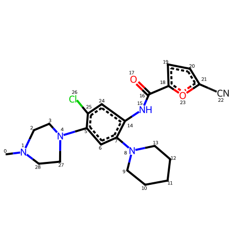 CN1CCN(c2cc(N3CCCCC3)c(NC(=O)c3ccc(C#N)o3)cc2Cl)CC1